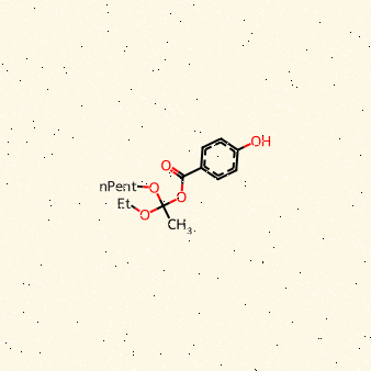 CCCCCOC(C)(OCC)OC(=O)c1ccc(O)cc1